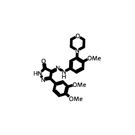 COc1ccc(C2=NNC(=O)/C2=N/Nc2ccc(OC)c(N3CCOCC3)c2)cc1OC